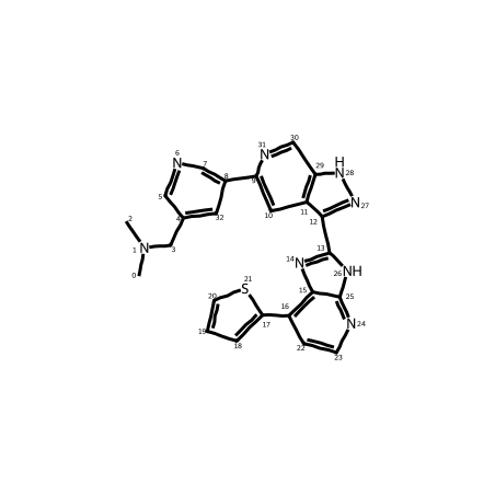 CN(C)Cc1cncc(-c2cc3c(-c4nc5c(-c6cccs6)ccnc5[nH]4)n[nH]c3cn2)c1